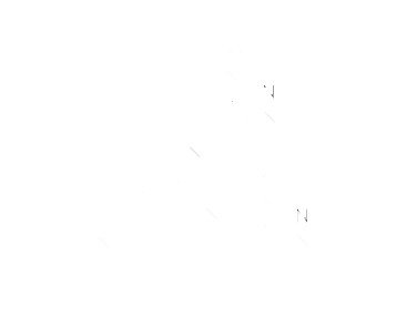 CN1c2ccccc2C(C)(C)c2c(-c3cccc4c(-c5ccc6cc7ccccc7cc6c5)c5cccc(-c6cccc7c6C(C)(C)c6ccccc6N7C)c5cc34)cccc21